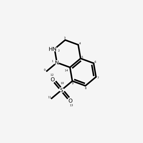 CN1NCCc2cccc(S(C)(=O)=O)c21